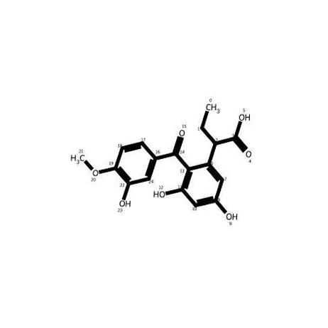 CCC(C(=O)O)c1cc(O)cc(O)c1C(=O)c1ccc(OC)c(O)c1